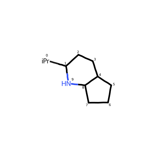 CC(C)C1CCC2CCCC2N1